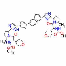 COC(=O)N[C@H](C(=O)N1[C@@H](C)CC[C@H]1c1ncc(-c2ccc(-c3ccc4cc(-c5cnc([C@@H]6CC[C@H](C)N6C(=O)[C@@H](NC(=O)OC)C6CCOCC6)[nH]5)ccc4c3)cc2)[nH]1)C1CCOCC1